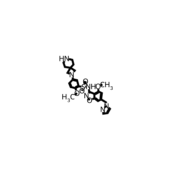 COc1ccc(N2CC3(CCNCC3)C2)cc1S(=O)(=O)Nc1noc2cc(Cn3cccn3)cc(OC)c12